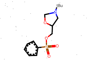 CC(C)(C)N1COC(COS(=O)(=O)c2ccccc2)C1